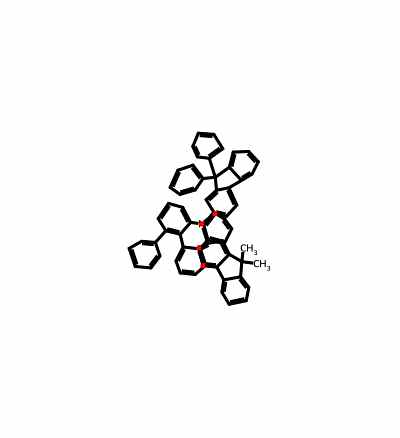 CC1(C)c2ccccc2-c2ccc(N(c3ccc4c(c3)C(c3ccccc3)(c3ccccc3)c3ccccc3-4)c3cccc(-c4ccccc4)c3-c3ccccc3-c3ccccc3)cc21